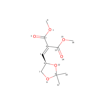 COC(=O)C(=C[C@@H]1COC(C)(C)O1)C(=O)OC